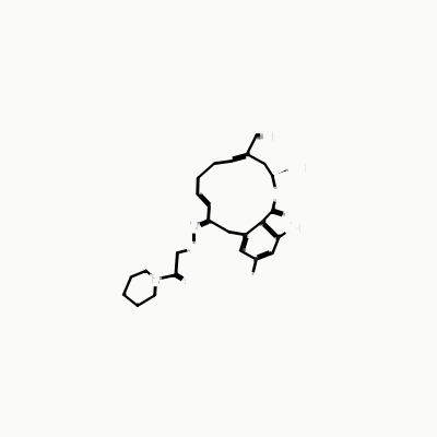 C=C/C1=C\CC/C=C/C(=N/OCC(=O)N2CCCCC2)Cc2cc(O)cc(O)c2C(=O)O[C@H](C)C1